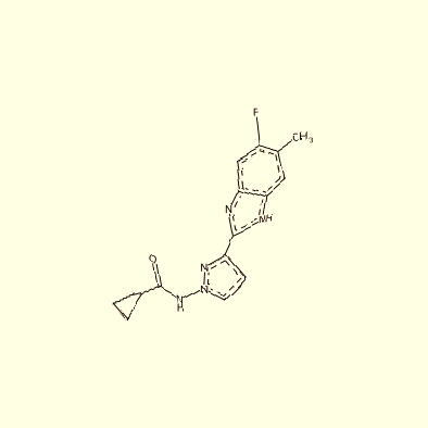 Cc1cc2[nH]c(-c3ccn(NC(=O)C4CC4)n3)nc2cc1F